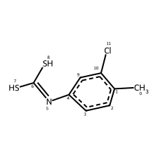 Cc1ccc(N=C(S)S)cc1Cl